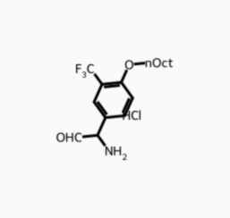 CCCCCCCCOc1ccc(C(N)C=O)cc1C(F)(F)F.Cl